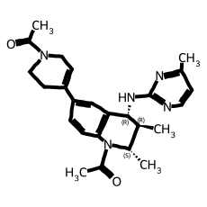 CC(=O)N1CC=C(c2ccc3c(c2)[C@H](Nc2nccc(C)n2)[C@@H](C)[C@H](C)N3C(C)=O)CC1